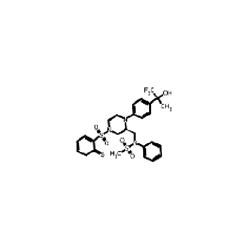 C[C@@](O)(c1ccc(N2CCN(S(=O)(=O)C3=CC=CCC3=S)C[C@@H]2CN(c2ccccc2)S(C)(=O)=O)cc1)C(F)(F)F